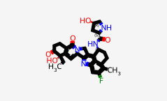 CC[C@@]1(O)C(=O)CCc2c1cc1n(c2=O)Cc2c-1nc1cc(F)c(C)c3c1c2[C@@H](NC(=O)[C@@H]1C[C@@H](O)CN1)CC3